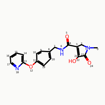 CN1CC(C(=O)NCc2ccc(Oc3ccccn3)cc2)=C(O)C1=O